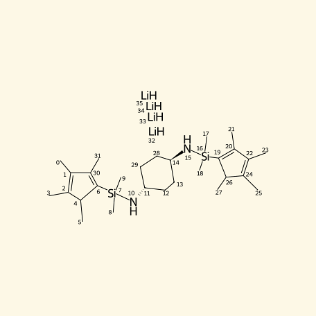 CC1=C(C)C(C)C([Si](C)(C)N[C@H]2CC[C@H](N[Si](C)(C)C3=C(C)C(C)=C(C)C3C)CC2)=C1C.[LiH].[LiH].[LiH].[LiH]